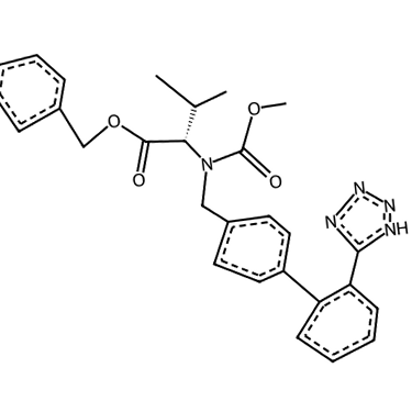 COC(=O)N(Cc1ccc(-c2ccccc2-c2nnn[nH]2)cc1)[C@H](C(=O)OCc1ccccc1)C(C)C